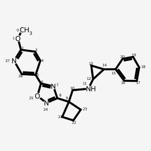 COc1ccc(-c2nc(C3(CNC4CC4c4ccccc4)CCC3)no2)cn1